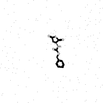 O=C(N[C@H]1CC(=O)SC1=O)OCc1ccccc1